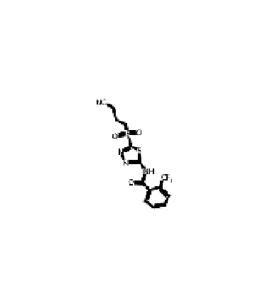 N#CCCCS(=O)(=O)c1nnc(NC(=O)c2ccccc2C(F)(F)F)s1